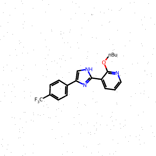 CCCCOc1ncccc1-c1nc(-c2ccc(C(F)(F)F)cc2)c[nH]1